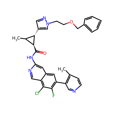 Cc1ccncc1-c1cc2cc(NC(=O)[C@H]3C(C)[C@@H]3c3cnn(CCOCc4ccccc4)c3)ncc2c(Cl)c1F